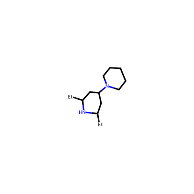 CCC1CC(N2CCCCC2)CC(CC)N1